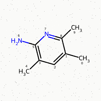 Cc1cc(C)c(N)nc1C